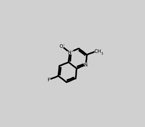 Cc1c[n+]([O-])c2cc(F)ccc2n1